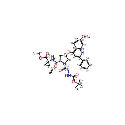 C=C[C@@H]1C[C@]1(NC(=O)[C@H]1C[C@@H](Oc2cc(-c3ccccc3)nc3cc(OC)ccc23)CN1C(=O)NNC(=O)OC(C)(C)C)C(=O)OCC